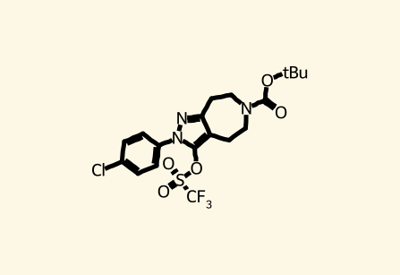 CC(C)(C)OC(=O)N1CCc2nn(-c3ccc(Cl)cc3)c(OS(=O)(=O)C(F)(F)F)c2CC1